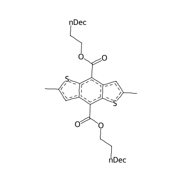 CCCCCCCCCCCCOC(=O)c1c2cc(C)sc2c(C(=O)OCCCCCCCCCCCC)c2cc(C)sc12